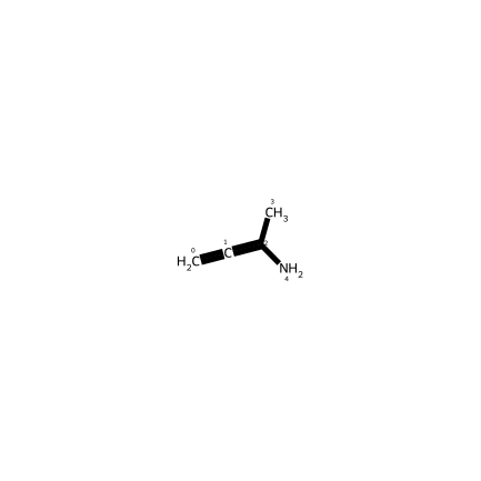 C=C=C(C)N